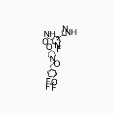 NC(=O)c1cc(-c2cn[nH]c2)cnc1O[C@H]1CCN(C(=O)Cc2ccc(OC(F)(F)F)cc2)C[C@H]1F